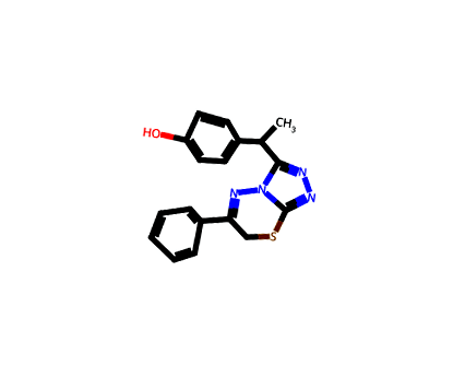 CC(c1ccc(O)cc1)c1nnc2n1N=C(c1ccccc1)CS2